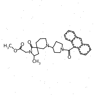 COC(=O)CN1C(=O)C2(CCCN(C3CCN(C(=O)c4c5ccccc5cc5ccccc45)CC3)C2)CC1C